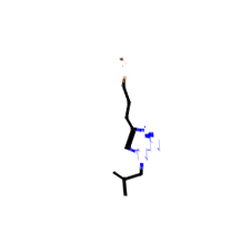 CSCCCc1cn(CC(C)C)nn1